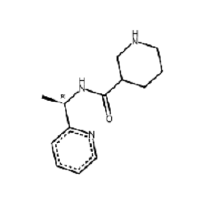 C[C@@H](NC(=O)C1CCCNC1)c1ccccn1